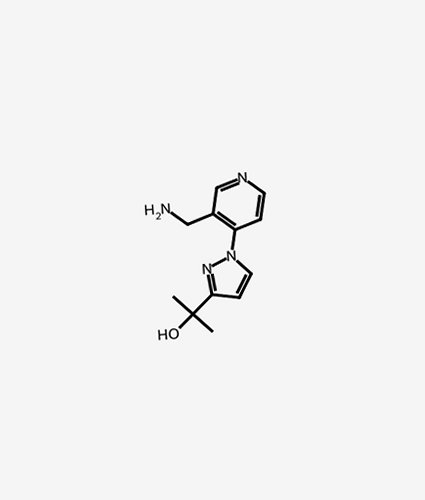 CC(C)(O)c1ccn(-c2ccncc2CN)n1